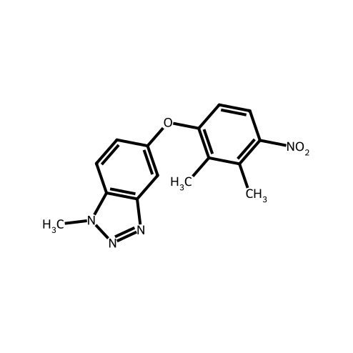 Cc1c(Oc2ccc3c(c2)nnn3C)ccc([N+](=O)[O-])c1C